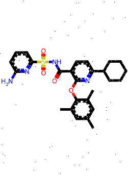 Cc1cc(C)c(Oc2nc(C3CCCCC3)ccc2C(=O)NS(=O)(=O)c2cccc(N)n2)c(C)c1